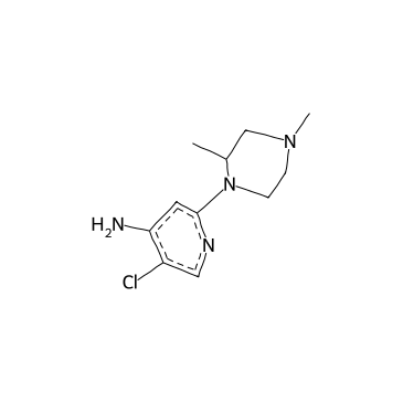 CC1CN(C)CCN1c1cc(N)c(Cl)cn1